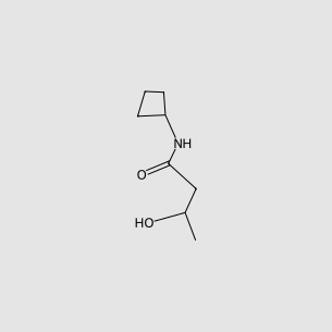 CC(O)CC(=O)NC1CCC1